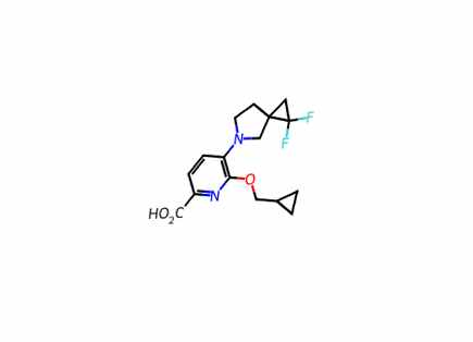 O=C(O)c1ccc(N2CCC3(C2)CC3(F)F)c(OCC2CC2)n1